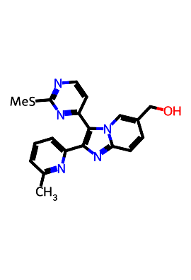 CSc1nccc(-c2c(-c3cccc(C)n3)nc3ccc(CO)cn23)n1